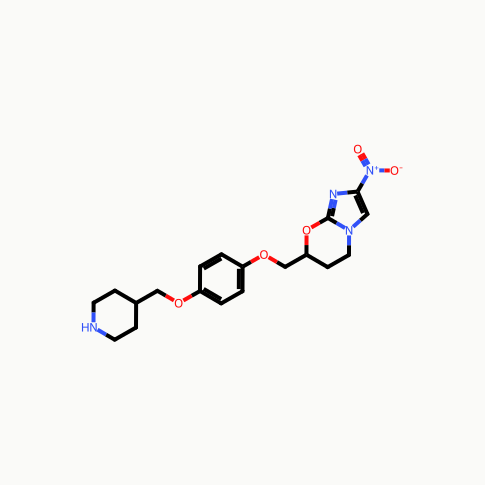 O=[N+]([O-])c1cn2c(n1)OC(COc1ccc(OCC3CCNCC3)cc1)CC2